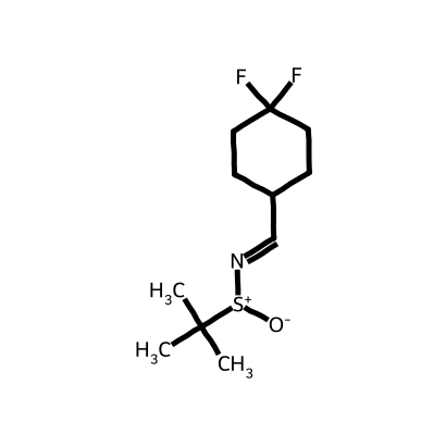 CC(C)(C)[S+]([O-])N=CC1CCC(F)(F)CC1